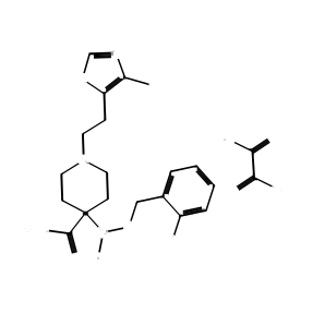 COC(=O)C1(N(OCc2ccccc2F)C(C)=O)CCN(CCc2scnc2C)CC1.O=C(O)C(=O)O